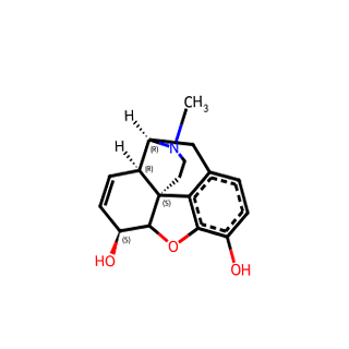 CN1CC[C@]23c4c5ccc(O)c4OC2[C@@H](O)C=C[C@H]3[C@H]1C5